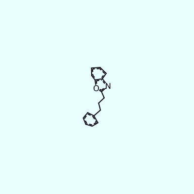 c1ccc(CCCc2nc3ccccc3o2)cc1